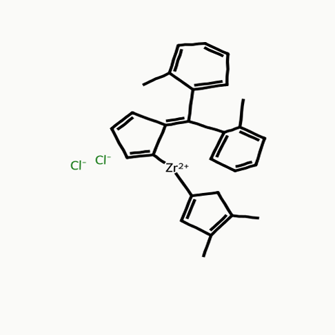 CC1=C(C)C[C]([Zr+2][C]2=CC=CC2=C(c2ccccc2C)c2ccccc2C)=C1.[Cl-].[Cl-]